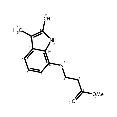 COC(=O)CCSc1cccc2c(C)c(C)[nH]c12